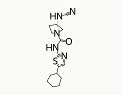 N#CN[C@H]1CCN(C(=O)Nc2ncc(C3CCCCC3)s2)C1